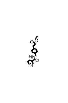 CCOC(=O)C=Cc1ccc(CNC(=O)c2cccnc2)cc1